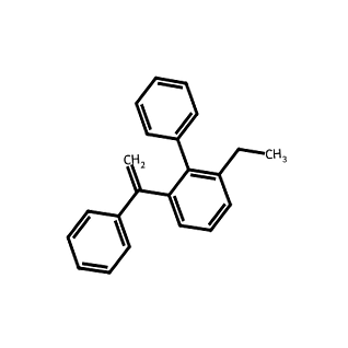 C=C(c1ccccc1)c1cccc(CC)c1-c1ccccc1